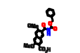 COc1cc2cc(OC)c(C(=O)NC(=O)OCc3ccccc3)cc2cc1C(=O)O